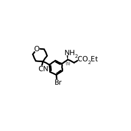 CCOC(=O)C[C@H](N)c1cc(Br)cc(C2(C#N)CCOCC2)c1